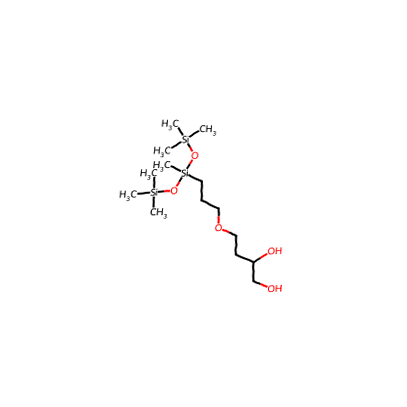 C[Si](C)(C)O[Si](C)(CCCOCCC(O)CO)O[Si](C)(C)C